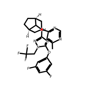 Cc1cc(N2C[C@H]3CC[C@@H](C2)C3Nc2nc(Oc3cc(F)cc(F)c3)n(CC(F)(F)F)n2)ncn1